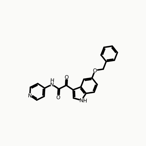 O=C(Nc1ccncc1)C(=O)c1c[nH]c2ccc(OCc3ccccc3)cc12